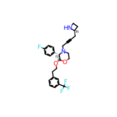 Fc1ccc([C@H]2[C@H](OCCc3cccc(C(F)(F)F)c3)OCCN2CC#CC[C@@H]2CCN2)cc1